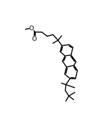 COC(=O)CCCC(C)(C)c1ccc2cc3ccc(C(C)(C)CC(C)(C)C)cc3cc2c1